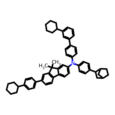 CC1(C)c2cc(-c3ccc(C4CCCCC4)cc3)ccc2-c2ccc(N(c3ccc(-c4cccc(C5CCCCC5)c4)cc3)c3ccc(C4CC5CCC4C5)cc3)cc21